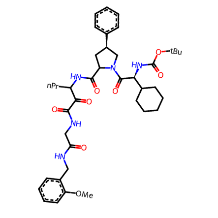 CCCC(NC(=O)C1C[C@@H](c2ccccc2)CN1C(=O)[C@@H](NC(=O)OC(C)(C)C)C1CCCCC1)C(=O)C(=O)NCC(=O)NCc1ccccc1OC